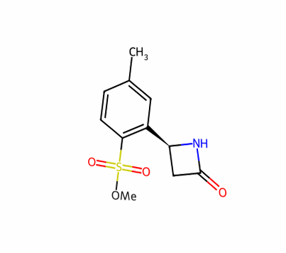 COS(=O)(=O)c1ccc(C)cc1[C@@H]1CC(=O)N1